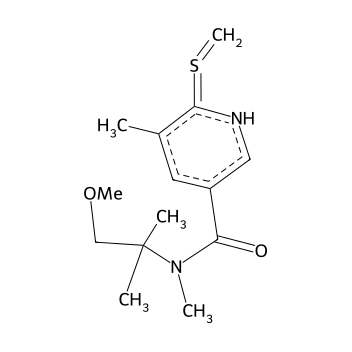 C=S=c1[nH]cc(C(=O)N(C)C(C)(C)COC)cc1C